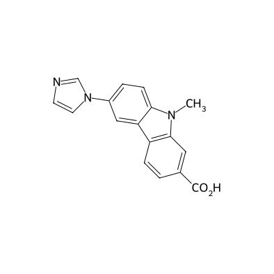 Cn1c2ccc(-n3ccnc3)cc2c2ccc(C(=O)O)cc21